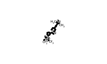 Cc1noc(C)c1C#Cc1ccn2c(-c3cccc(N(OC(=O)C(F)(F)F)C(=O)NCC(F)(F)F)c3)cnc2c1